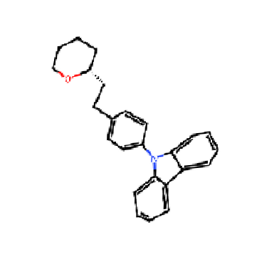 c1ccc2c(c1)c1ccccc1n2-c1ccc(CC[C@H]2CCCCO2)cc1